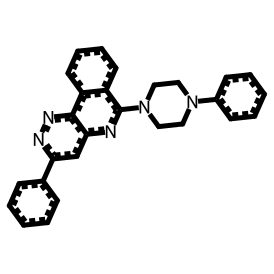 c1ccc(-c2cc3nc(N4CCN(c5ccccc5)CC4)c4ccccc4c3nn2)cc1